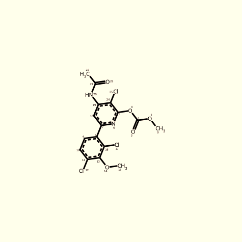 COC(=O)Oc1nc(-c2ccc(Cl)c(OC)c2Cl)cc(NC(C)=O)c1Cl